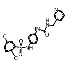 O=C(NCc1cccnc1)Nc1ccc(NS(=O)(=O)c2cc(Cl)ccc2Cl)cc1